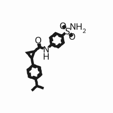 CC(C)c1ccc(C2CC2C(=O)Nc2ccc(S(N)(=O)=O)cc2)cc1